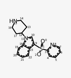 O=S(=O)(c1ccccn1)c1cn(C2CCNCC2)c2ccccc12